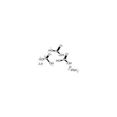 [La].[O]=[Ti]([OH])[OH].[O]=[Ti]([OH])[OH].[O]=[Ti]([OH])[OH].[PbH2].[Zr]